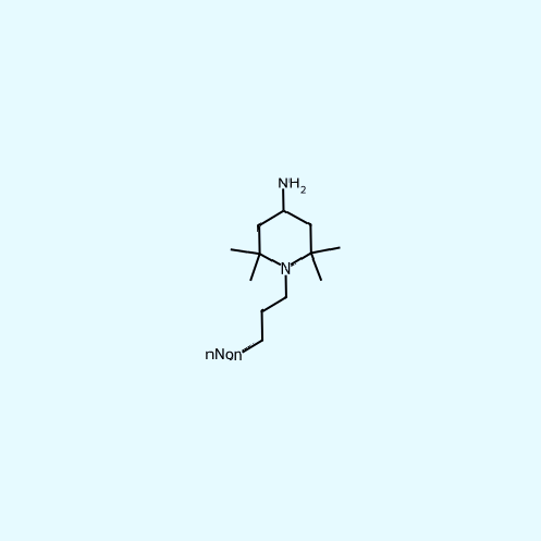 CCCCCCCCCCCCN1C(C)(C)CC(N)CC1(C)C